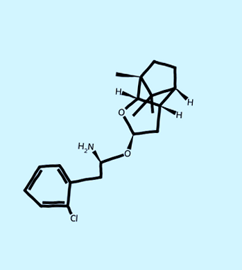 CC1(C)[C@@H]2CC[C@@]1(C)[C@H]1O[C@H](O[C@H](N)Cc3ccccc3Cl)C[C@@H]21